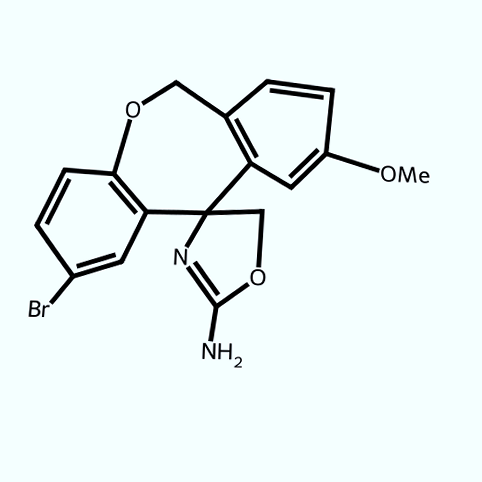 COc1ccc2c(c1)C1(COC(N)=N1)c1cc(Br)ccc1OC2